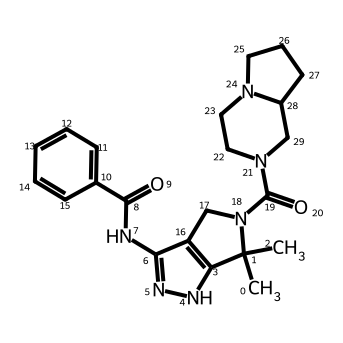 CC1(C)c2[nH]nc(NC(=O)c3ccccc3)c2CN1C(=O)N1CCN2CCCC2C1